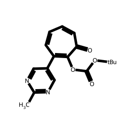 Cc1ncc(-c2ccccc(=O)c2OC(=O)OC(C)(C)C)cn1